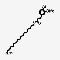 CCCCCCCCCCCCCCCCCCCCCCCCCCOC(=O)/C=C/c1ccc(O)c(OC)c1